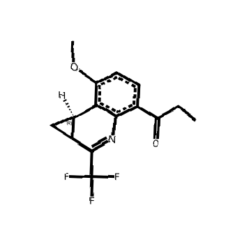 CCC(=O)c1ccc(OC)c2c1N=C(C(F)(F)F)C1C[C@@H]21